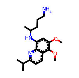 COc1cc(NC(C)CCCN)c2nc(C(C)C)ccc2c1OC